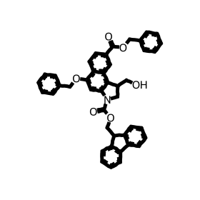 O=C(OCc1ccccc1)c1ccc2c(OCc3ccccc3)cc3c(c2c1)C(CO)CN3C(=O)OCC1c2ccccc2-c2ccccc21